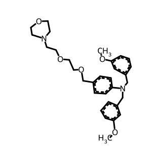 COc1cccc(CN(Cc2cccc(OC)c2)c2ccc(COCCOCCN3CCOCC3)cc2)c1